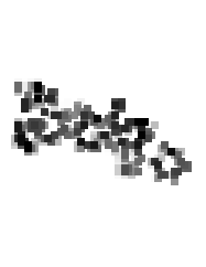 CO[C@]1(NC(=O)C(O)c2ccccc2)C(=O)N2C(C(=O)O)=C(C(CCS(N)(=O)=O)Sc3nnn[nH]3)CS[C@H]21